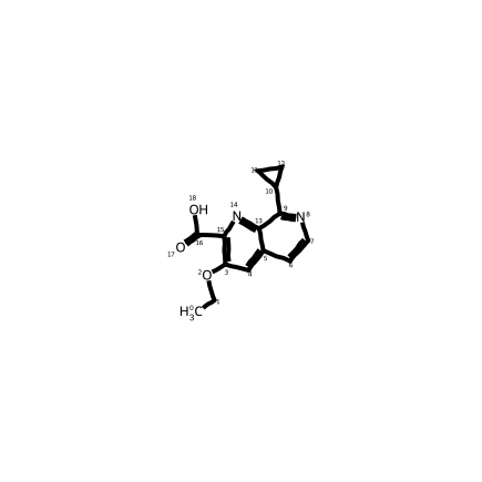 CCOc1cc2ccnc(C3CC3)c2nc1C(=O)O